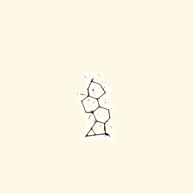 COC[C@]12CC[C@@](C)(O)C[C@H]1CC[C@@H]1[C@@H]2CC[C@]2(C)C(=O)C3CC3[C@@H]12